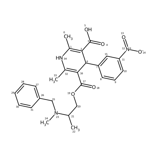 CC1=C(C(=O)O)C(c2cccc([N+](=O)[O-])c2)C(C(=O)OCC(C)N(C)Cc2ccccc2)=C(C)N1